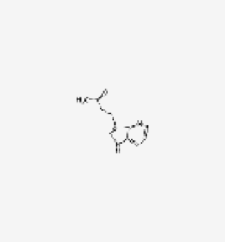 CC(=O)CCc1c[nH]c2cccnc12